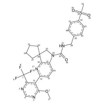 COc1ncnc(C(F)(F)F)c1-c1ccc2c(n1)C1(CCCC1)CN2C(=O)NCc1ccc(S(C)(=O)=O)cc1